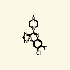 CN1CCN(c2nc3cc(F)c(Cl)cc3n3ncnc23)CC1